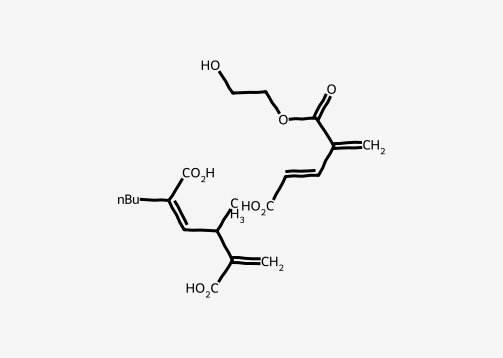 C=C(C(=O)O)C(C)C=C(CCCC)C(=O)O.C=C(C=CC(=O)O)C(=O)OCCO